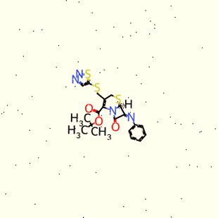 CC(C)(C)OC(=O)C1=C(CSc2cnns2)CS[C@H]2C(=Nc3ccccc3)C(=O)N12